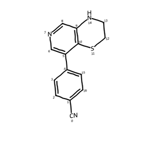 N#Cc1ccc(-c2cncc3c2SCCN3)cc1